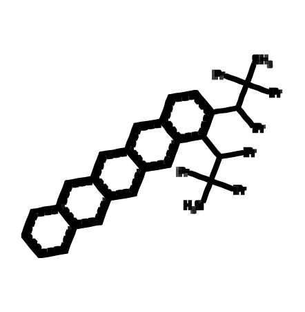 CC(C)C(c1ccc2cc3cc4cc5ccccc5cc4cc3cc2c1C(C(C)C)C([SiH3])(C(C)C)C(C)C)C([SiH3])(C(C)C)C(C)C